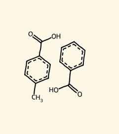 Cc1ccc(C(=O)O)cc1.O=C(O)c1ccccc1